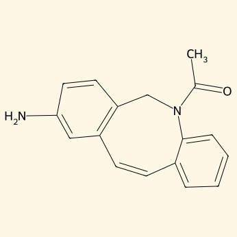 CC(=O)N1Cc2ccc(N)cc2/C=C\c2ccccc21